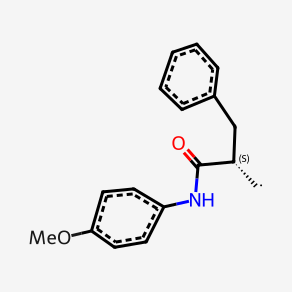 [CH2][C@@H](Cc1ccccc1)C(=O)Nc1ccc(OC)cc1